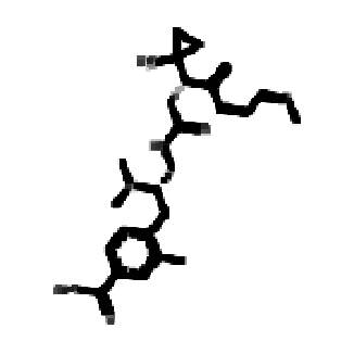 C=C(/C=C\C=N/C)[C@H](CC(=O)NC[C@H](Cc1ccc(C(=O)NC)cc1C)N(C)C)C1(C(F)(F)F)CC1